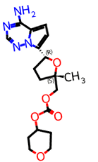 C[C@@]1(COC(=O)OC2CCOCC2)CC[C@H](c2ccc3c(N)ncnn23)O1